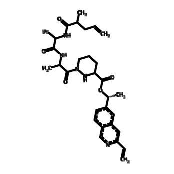 C=CCC(C)C(=O)NC(C(=O)NC(C)C(=O)N1CCCC(C(=O)O[C@H](C)c2ccc3cnc(C=C)cc3c2)N1)C(C)C